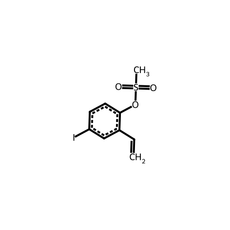 C=Cc1cc(I)ccc1OS(C)(=O)=O